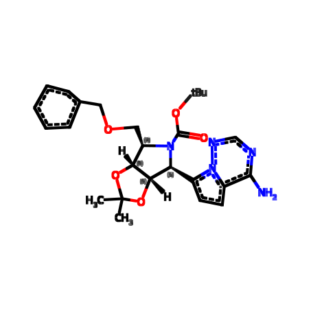 CC(C)(C)OC(=O)N1[C@H](COCc2ccccc2)[C@H]2OC(C)(C)O[C@H]2[C@@H]1c1ccc2c(N)ncnn12